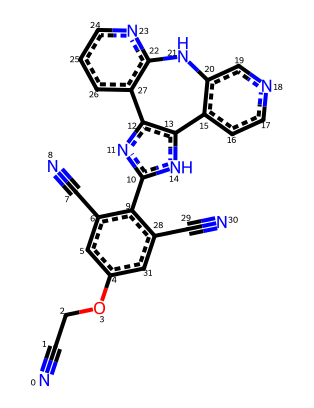 N#CCOc1cc(C#N)c(-c2nc3c([nH]2)-c2ccncc2Nc2ncccc2-3)c(C#N)c1